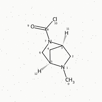 CN1C[C@H]2C[C@@H]1CN2C(=O)Cl